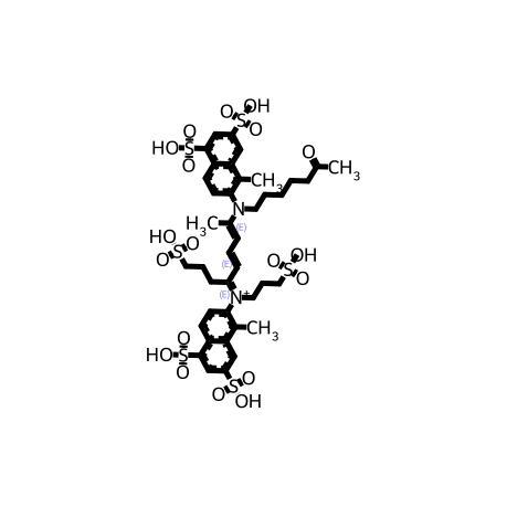 CC(=O)CCCCCN(/C(C)=C/C=C/C(CCCS(=O)(=O)O)=[N+](\CCCS(=O)(=O)O)c1ccc2c(S(=O)(=O)O)cc(S(=O)(=O)O)cc2c1C)c1ccc2c(S(=O)(=O)O)cc(S(=O)(=O)O)cc2c1C